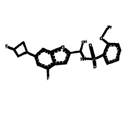 CC(C)Oc1ccccc1S(=O)(=O)NC(O)c1cc2c(F)cc(N3CC(F)C3)cc2o1